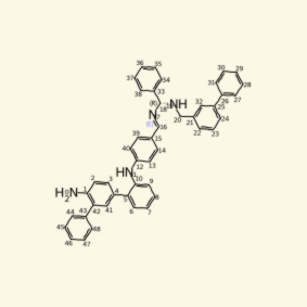 Nc1ccc(-c2ccccc2Nc2ccc(/C=N/[C@@H](NCc3cccc(-c4ccccc4)c3)c3ccccc3)cc2)cc1-c1ccccc1